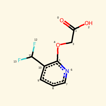 O=C(O)COc1ncccc1C(F)F